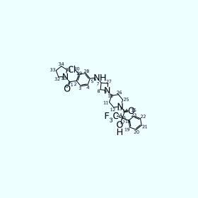 O=C(c1ccc(NC2CN(C3CCN(C(=O)[C@@](O)(c4ccccc4)C(F)(F)F)CC3)C2)cc1Cl)N1CCCC1